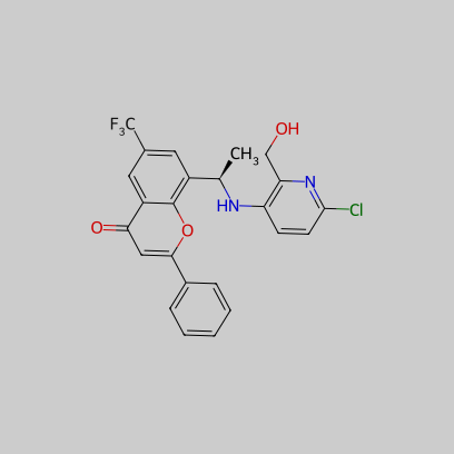 C[C@@H](Nc1ccc(Cl)nc1CO)c1cc(C(F)(F)F)cc2c(=O)cc(-c3ccccc3)oc12